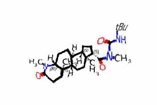 CN(C(=O)NC(C)(C)C)C(=O)[C@H]1CC[C@H]2[C@@H]3CC[C@H]4N(C)C(=O)CC[C@]4(C)[C@H]3CC[C@]12C